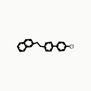 Clc1ccc(-c2ccc(CCc3ccc4ccccc4c3)cc2)cc1